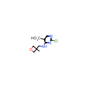 CC1(CNc2nc(Cl)ncc2C(=O)O)COC1